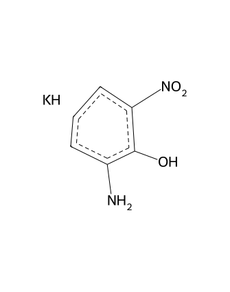 Nc1cccc([N+](=O)[O-])c1O.[KH]